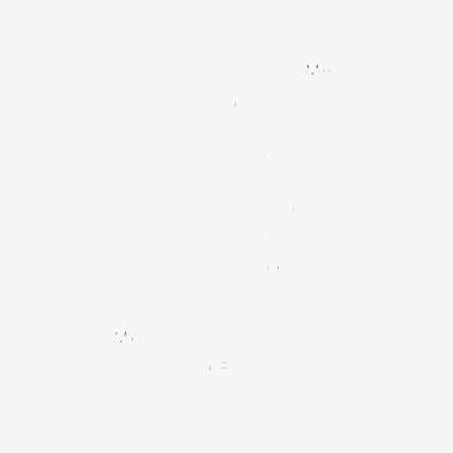 COc1ccc(OBOc2ccc(OC)c(C(F)(F)F)c2)cc1C(F)(F)F